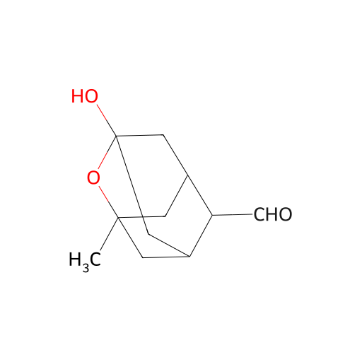 CC12CC3CC(O)(CC(C1)C3C=O)O2